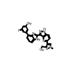 Cn1cc(-c2ccc3[nH]nc(-c4nc5c(-c6cc(O)cc(F)c6)cccc5[nH]4)c3n2)c(CO)n1